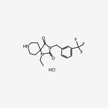 CCN1C(=O)N(Cc2cccc(C(F)(F)F)c2)C(=O)C12CCNCC2.Cl